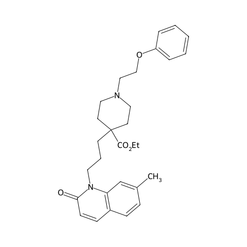 CCOC(=O)C1(CCCn2c(=O)ccc3ccc(C)cc32)CCN(CCOc2ccccc2)CC1